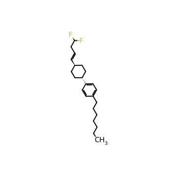 CCCCCCCc1ccc([C@H]2CC[C@H](/C=C/CC(F)F)CC2)cc1